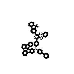 CC1(C)c2ccccc2-c2ccc(-c3sc(-c4ccc(N(c5ccc(-c6ccccc6)cc5)c5ccc6c(c5)C5(c7ccccc7-c7ccccc75)c5ccccc5-6)cc4)c4c3Oc3ccccc3O4)cc21